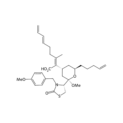 C=C/C=C/CC/C(C)=C(\C(=O)O)[C@@H]1C[C@@H](CCCC=C)O[C@@](OC)([C@@H]2CSC(=O)N2Cc2ccc(OC)cc2)C1